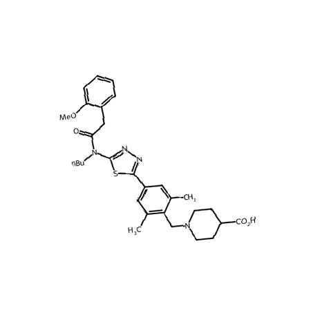 CCCCN(C(=O)Cc1ccccc1OC)c1nnc(-c2cc(C)c(CN3CCC(C(=O)O)CC3)c(C)c2)s1